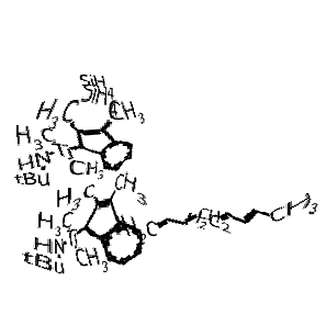 C=CC=C.C=CC=CC.CC1=C(C)[CH]([Ti]([CH3])([CH3])[NH]C(C)(C)C)c2ccccc21.CC1=C(C)[CH]([Ti]([CH3])([CH3])[NH]C(C)(C)C)c2ccccc21.[SiH4].[SiH4]